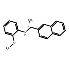 COc1ccccc1N[C@H](C)c1ccc2ccccc2c1